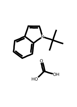 CC(C)(C)n1ccc2ccccc21.O=C(O)O